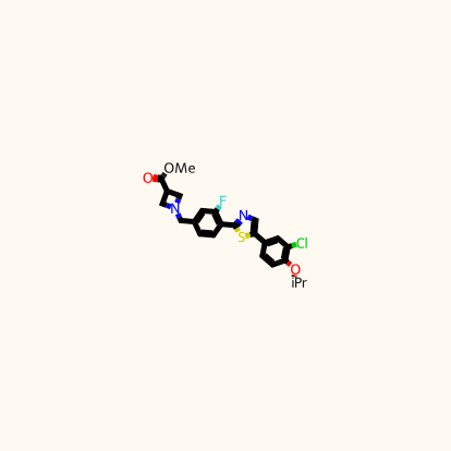 COC(=O)C1CN(Cc2ccc(-c3ncc(-c4ccc(OC(C)C)c(Cl)c4)s3)c(F)c2)C1